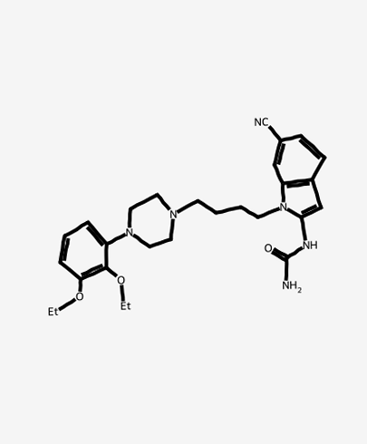 CCOc1cccc(N2CCN(CCCCn3c(NC(N)=O)cc4ccc(C#N)cc43)CC2)c1OCC